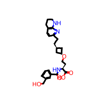 O=C(N[C@@H](CCO[C@H]1C[C@H](CCc2ccc3c(n2)NCCC3)C1)C(=O)O)c1cccc(CO)c1